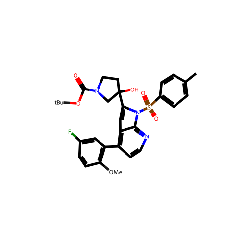 COc1ccc(F)cc1-c1ccnc2c1cc(C1(O)CCN(C(=O)OC(C)(C)C)C1)n2S(=O)(=O)c1ccc(C)cc1